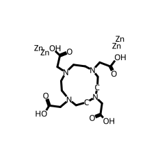 O=C(O)CN1CCN(CC(=O)O)CCN(CC(=O)O)CCN(CC(=O)O)CC1.[Zn].[Zn].[Zn].[Zn]